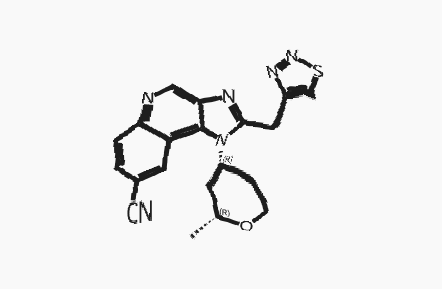 C[C@@H]1C[C@H](n2c(Cc3csnn3)nc3cnc4ccc(C#N)cc4c32)CCO1